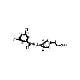 CC(C)(C)CCN1C[C@@H]2C(CNC(=O)c3cc(Cl)cc(Cl)c3)[C@@H]2C1